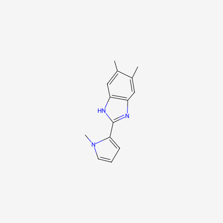 Cc1cc2nc(-c3cccn3C)[nH]c2cc1C